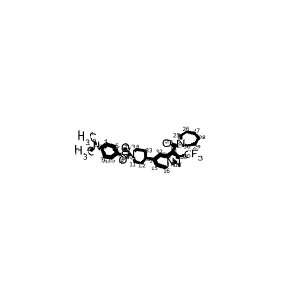 CN(C)c1ccc(S(=O)(=O)N2CCC(c3ccn4nc(C(F)(F)F)c(C(=O)N5CCCCCC5)c4c3)CC2)cc1